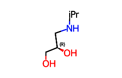 CC(C)NC[C@@H](O)CO